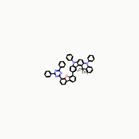 CC1(C)c2ccccc2N(c2ccccc2)c2ccc3c(c21)c1cc(-c2cccc4c2oc2c(-c5nc(-c6ccccc6)nc(-c6ccccc6)n5)cccc24)ccc1n3-c1ccccc1